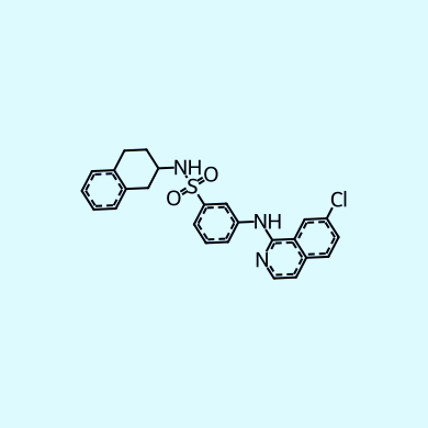 O=S(=O)(NC1CCc2ccccc2C1)c1cccc(Nc2nccc3ccc(Cl)cc23)c1